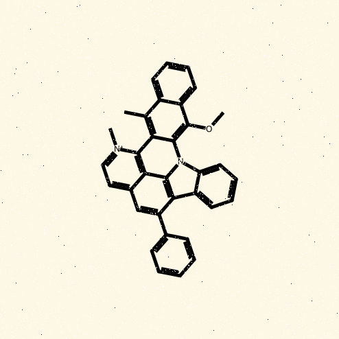 COc1c2ccccc2c(C)c2c1n1c3ccccc3c3c(-c4ccccc4)cc4cc[n+](C)c2c4c31